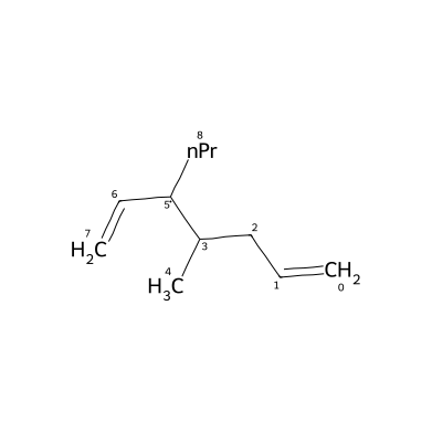 C=CCC(C)[C](C=C)CCC